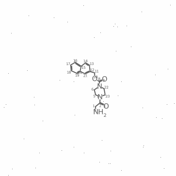 NCC(=O)N1CCN(C(=O)OCc2ccc3ccccc3c2)CC1